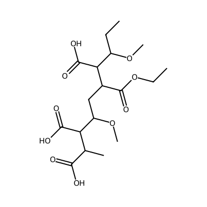 CCOC(=O)C(CC(OC)C(C(=O)O)C(C)C(=O)O)C(C(=O)O)C(CC)OC